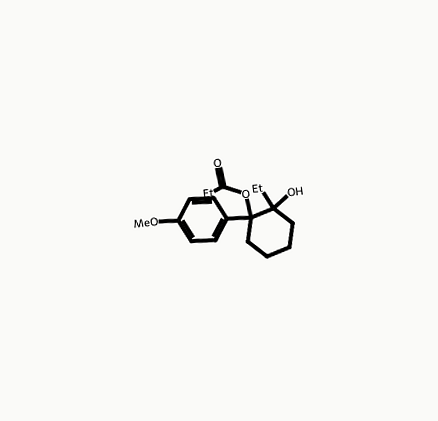 CCC(=O)OC1(c2ccc(OC)cc2)CCCCC1(O)CC